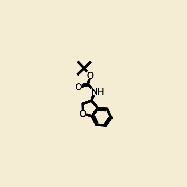 CC(C)(C)OC(=O)NC1COc2ccccc21